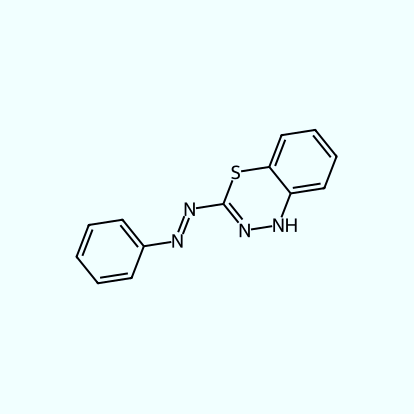 c1ccc(/N=N/C2=NNc3ccccc3S2)cc1